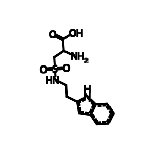 NC(CS(=O)(=O)NCCc1cc2ccccc2[nH]1)C(=O)O